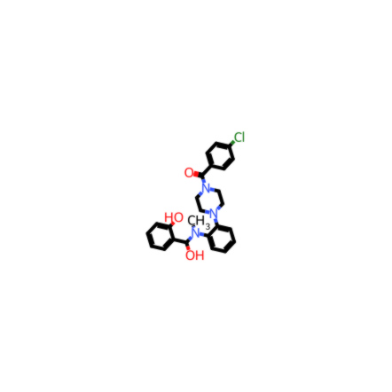 CN(c1ccccc1N1CCN(C(=O)c2ccc(Cl)cc2)CC1)C(O)c1ccccc1O